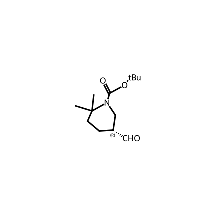 CC(C)(C)OC(=O)N1C[C@H](C=O)CCC1(C)C